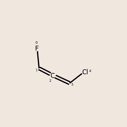 FC=C=CCl